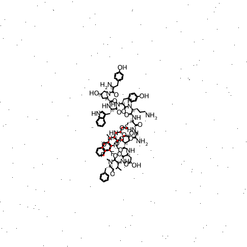 COCC[C@@H](C(=O)N1C[C@@H](O)C[C@@H]1C(=O)N[C@@H](CC(=O)O)C(=O)N[C@H](C(=O)N(C)[C@H](C=O)Cc1ccccc1)C(C)C)N(C)C(=O)C(Cc1ccccc1)N(C)C(=O)[C@H](Cc1ccc(F)c(F)c1)NC(=O)CSC[C@H](NC(=O)[C@H](CCCN)NC(=O)[C@H](Cc1ccc(O)cc1)NC(=O)[C@H](Cc1c[nH]c2ccccc12)NC(=O)[C@H]1C[C@H](O)CN1C(=O)[C@@H](N)Cc1ccc(O)cc1)C(=O)NCC(N)=O